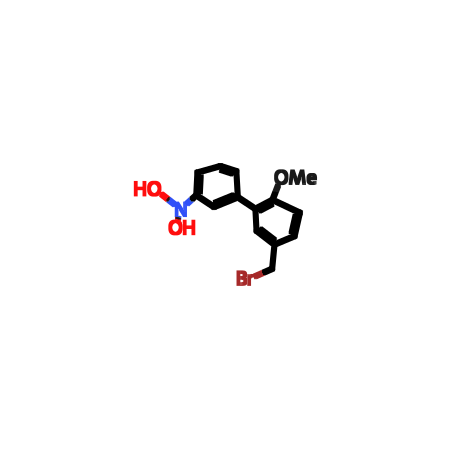 COc1ccc(CBr)cc1-c1cccc(N(O)O)c1